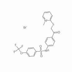 C[n+]1ccccc1SCC(=O)c1ccc(NS(=O)(=O)c2ccc(OC(F)(F)F)cc2)cc1.[Br-]